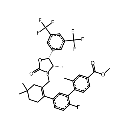 COC(=O)c1ccc(-c2cc(C3=C(CN4C(=O)O[C@H](c5cc(C(F)(F)F)cc(C(F)(F)F)c5)[C@@H]4C)CC(C)(C)CC3)ccc2F)c(C)c1